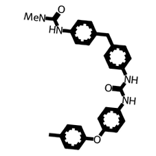 CNC(=O)Nc1ccc(Cc2ccc(NC(=O)Nc3ccc(Oc4ccc(C)cc4)cc3)cc2)cc1